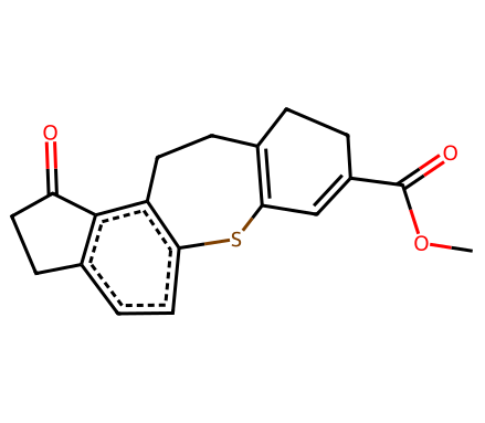 COC(=O)C1=CC2=C(CC1)CCc1c(ccc3c1C(=O)CC3)S2